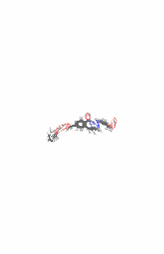 CC(C)(C)[Si](C)(C)OCc1ccc2c(c1)CCN(CC=O)C2=O